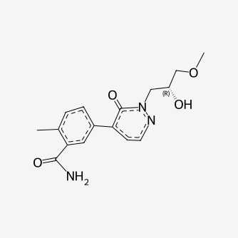 COC[C@H](O)Cn1nccc(-c2ccc(C)c(C(N)=O)c2)c1=O